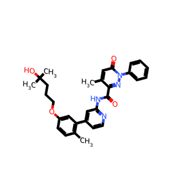 Cc1ccc(OCCCC(C)(C)O)cc1-c1ccnc(NC(=O)c2nn(-c3ccccc3)c(=O)cc2C)c1